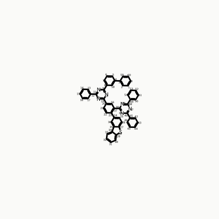 c1ccc(-c2cccc(-c3nc(-c4ccccc4)nc(-c4ccc(-c5ccc6sc7ccccc7c6c5)c(-c5nc(-c6ccccc6)nc(-c6ccccc6)n5)c4)n3)c2)cc1